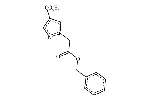 CCOC(=O)c1cnn(CC(=O)OCc2ccccc2)c1